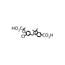 Cc1c(C)n(Cc2ccc(O[C@@H](C)C(=O)O)c(Cl)c2)c2ccc(C(=O)O)cc12